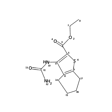 CCOC(=O)c1sc2c(c1NC(N)=O)CCCC2